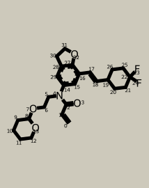 C=CC(=O)N(CCOC1CCCCO1)c1cc(C=CC2CCC(F)(F)CC2)c2c(c1)CCO2